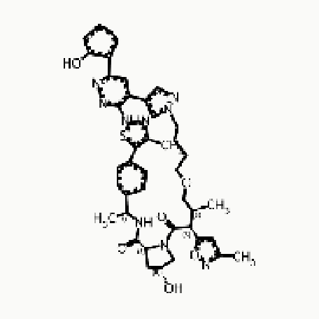 Cc1cc([C@@H](C(=O)N2C[C@H](O)C[C@H]2C(=O)N[C@@H](C)c2ccc(-c3scnc3C)cc2)[C@H](C)COCCCCn2cc(-c3cc(-c4ccccc4O)nnc3N)cn2)on1